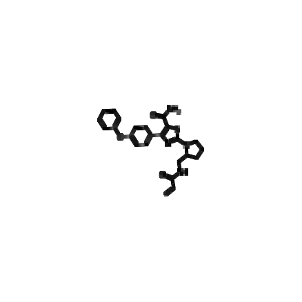 C=CC(=O)NCC1CCCN1c1nc(-c2ccc(Oc3ccccc3)cc2)c(C(N)=O)s1